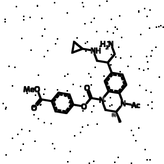 COC(=O)c1ccc(OC(=O)N2C[C@H](C)N(C(C)=O)c3ccc(C(CN)CNC4CC4)cc32)cc1